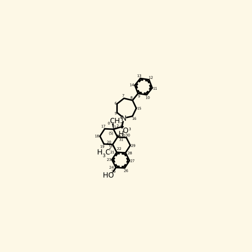 C[C@]1(C(=O)N2CCCC(c3ccccc3)CC2)CCC[C@]2(C)c3cc(O)ccc3CC[C@@H]12